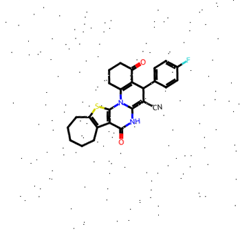 N#CC1=C2NC(=O)c3c(sc4c3CCCCC4)N2C2=C(C(=O)CCC2)C1c1ccc(F)cc1